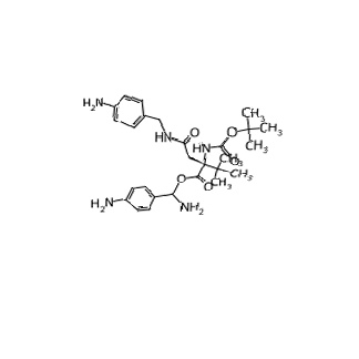 CC(C)(C)OC(=O)N[C@@](CC(=O)NCc1ccc(N)cc1)(C(=O)OC(N)c1ccc(N)cc1)C(C)(C)C